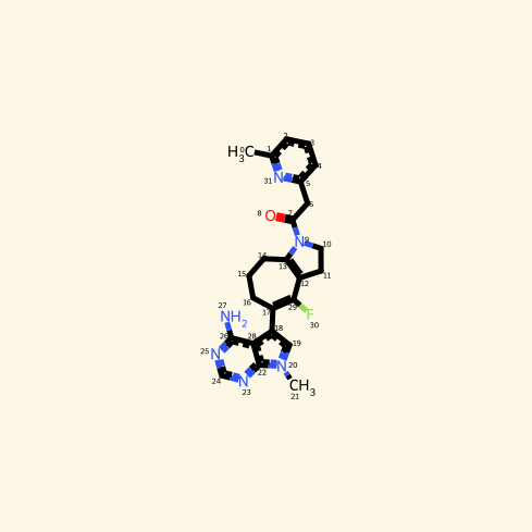 Cc1cccc(CC(=O)N2CCC3=C2CCCC(c2cn(C)c4ncnc(N)c24)=C3F)n1